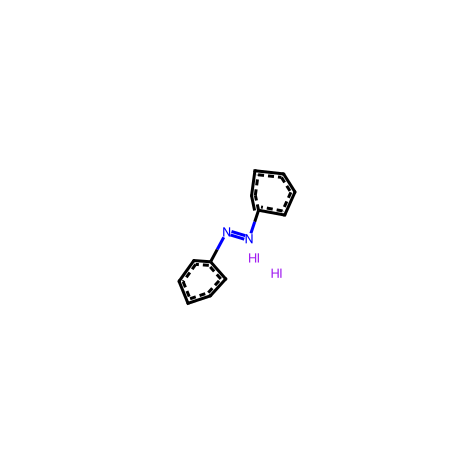 I.I.c1ccc(N=Nc2ccccc2)cc1